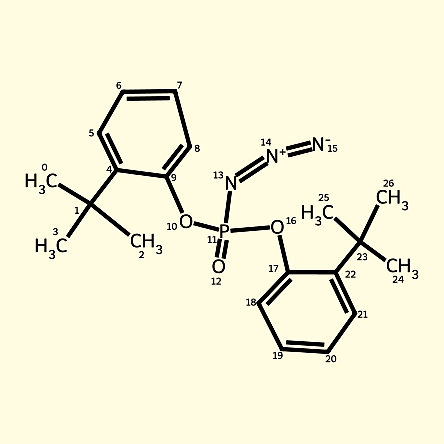 CC(C)(C)c1ccccc1OP(=O)(N=[N+]=[N-])Oc1ccccc1C(C)(C)C